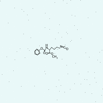 COC(=O)C(CCCCN=C=O)NC(=O)Oc1ccccc1